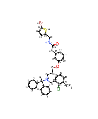 CC(c1ccccc1)(c1ccccc1)N(CCCOc1cccc(CC(=O)NCc2ccc(Br)s2)c1)Cc1cccc(C(F)(F)F)c1Cl